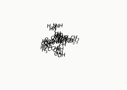 CC(C)C[C@H](N)C(=O)N1C(=O)[C@H]2O[C@@H]2C(=O)C1CCCN(C(=N)N)[C@@](CC(C)C)(C(=O)NCCCCNC(=N)N)N1C(=O)[C@H]2O[C@@H]2C1=O.CC(C)C[C@H](N)C(=O)NC(=N)NCCCCNC(=O)[C@H]1O[C@@H]1C(=O)O